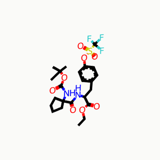 CCOC(=O)C(Cc1ccc(OS(=O)(=O)C(F)(F)F)cc1)NC(=O)C1(NC(=O)OC(C)(C)C)CCCC1